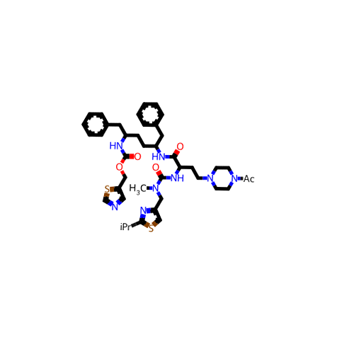 CC(=O)N1CCN(CCC(NC(=O)N(C)Cc2csc(C(C)C)n2)C(=O)NC(CCC(Cc2ccccc2)NC(=O)OCc2cncs2)Cc2ccccc2)CC1